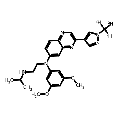 [2H]C([2H])([2H])n1cc(-c2cnc3ccc(N(CCNC(C)C)c4cc(OC)cc(OC)c4)cc3n2)cn1